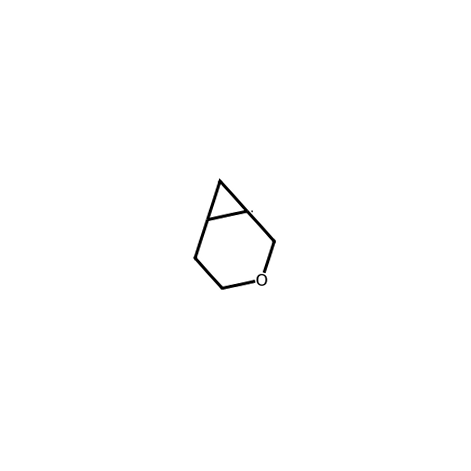 C1CC2C[C]2CO1